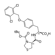 CC(C)(C)OC(=O)N1CSC[C@@H]1C(=O)N[C@@H](Cc1ccc(OCc2c(Cl)cccc2Cl)cc1)C(=O)O